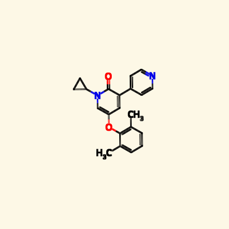 Cc1cccc(C)c1Oc1cc(-c2ccncc2)c(=O)n(C2CC2)c1